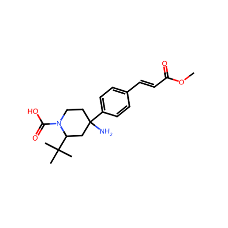 COC(=O)C=Cc1ccc(C2(N)CCN(C(=O)O)C(C(C)(C)C)C2)cc1